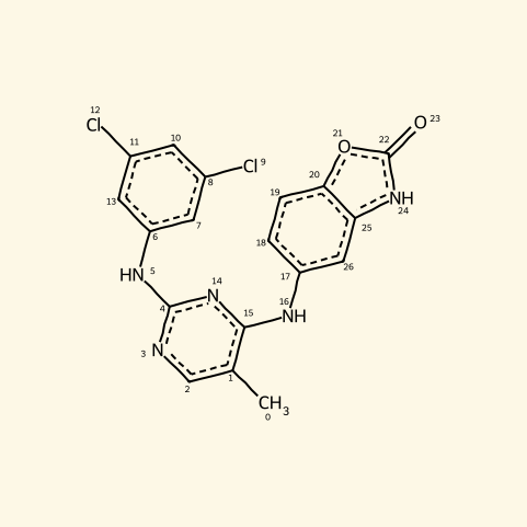 Cc1cnc(Nc2cc(Cl)cc(Cl)c2)nc1Nc1ccc2oc(=O)[nH]c2c1